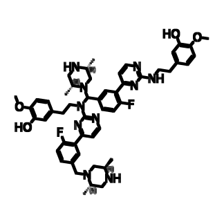 COc1ccc(CCNc2nccc(-c3cc(C(N(CCc4ccc(OC)c(O)c4)c4nccc(-c5cc(CN6C[C@@H](C)NC[C@@H]6C)ccc5F)n4)N4C[C@@H](C)NC[C@H]4C)ccc3F)n2)cc1O